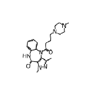 Cc1nn(C)c2c1N(C(=O)CCCN1CCN(C)CC1)c1ccccc1NC2=O